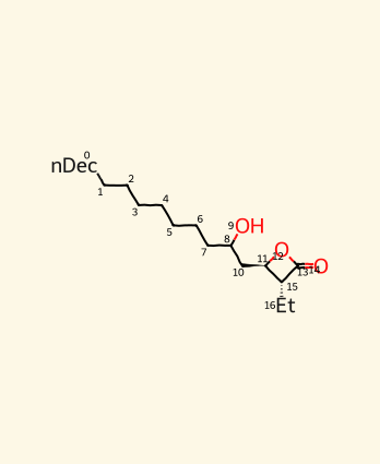 CCCCCCCCCCCCCCCCCC(O)C[C@H]1OC(=O)[C@@H]1CC